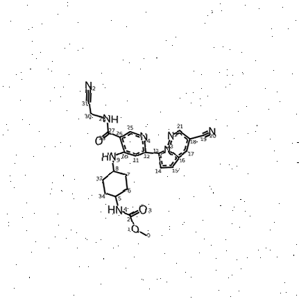 COC(=O)NC1CCC(Nc2cc(-c3ccc4cc(C#N)cnn34)ncc2C(=O)NCC#N)CC1